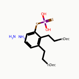 CCCCCCCCCCCCc1cccc(SP(O)(O)=S)c1CCCCCCCCCCCC.N.N